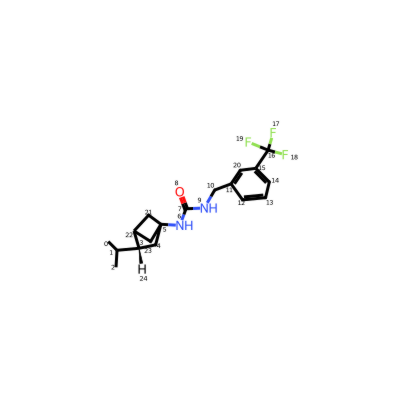 CC(C)[C@H]1CC2(NC(=O)NCc3cccc(C(F)(F)F)c3)CC1C2